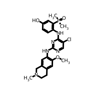 COc1cc2c(cc1Nc1ncc(Cl)c(Nc3ccc(O)cc3P(C)(C)=O)n1)CN(C)CC2